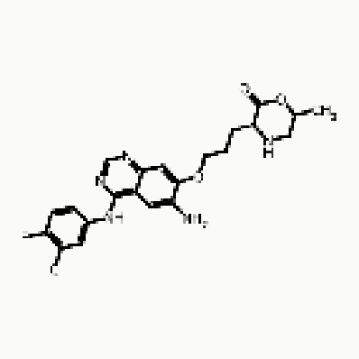 CC1CN[C@@H](CCCOc2cc3ncnc(Nc4ccc(F)c(Cl)c4)c3cc2N)C(=O)O1